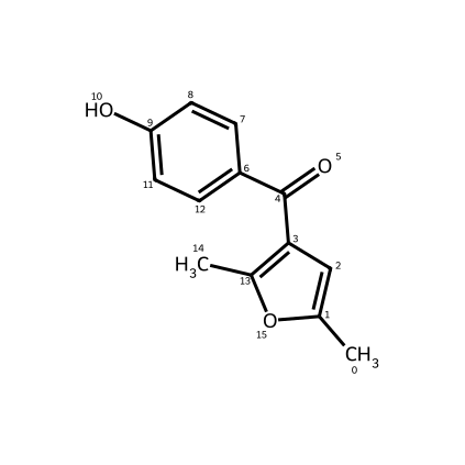 Cc1cc(C(=O)c2ccc(O)cc2)c(C)o1